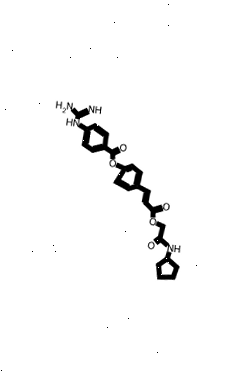 N=C(N)Nc1ccc(C(=O)Oc2ccc(C=CC(=O)OCC(=O)NC3CCCC3)cc2)cc1